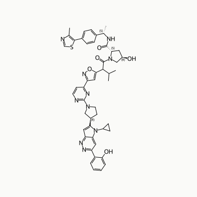 Cc1ncsc1-c1ccc([C@H](C)NC(=O)[C@@H]2C[C@@H](O)CN2C(=O)C(c2cc(-c3ccnc(N4CC[C@@H](c5cc6nnc(-c7ccccc7O)cc6n5C5CC5)C4)n3)no2)C(C)C)cc1